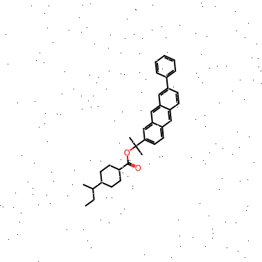 CCC(C)C1CCC(C(=O)OC(C)(C)c2ccc3cc4ccc(-c5ccccc5)cc4cc3c2)CC1